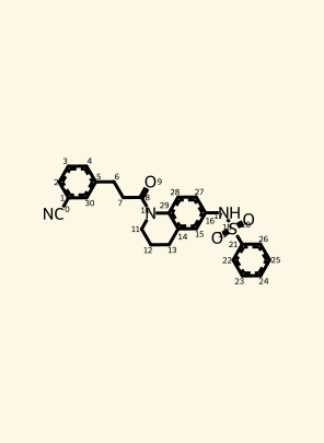 N#Cc1cccc(CCC(=O)N2CCCc3cc(NS(=O)(=O)c4ccccc4)ccc32)c1